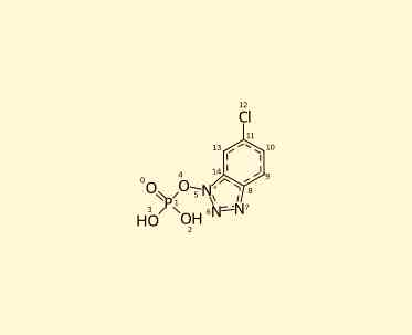 O=P(O)(O)On1nnc2ccc(Cl)cc21